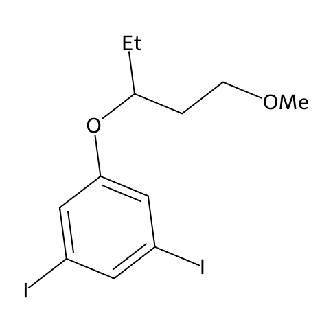 CCC(CCOC)Oc1cc(I)cc(I)c1